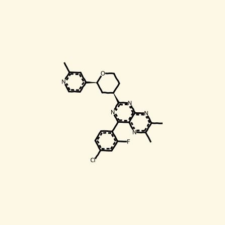 Cc1cc([C@@H]2C[C@H](c3nc(-c4ccc(Cl)cc4F)c4nc(C)c(C)nc4n3)CCO2)ccn1